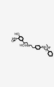 CN(C)[C@H](CNc1ccc(CCNC[C@H](O)c2ccc(O)c(NC=O)c2)cc1)c1ccccc1